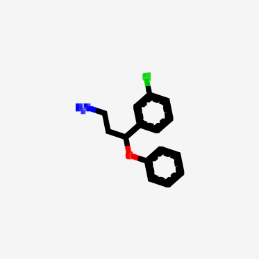 NCCC(Oc1ccccc1)c1cccc(Cl)c1